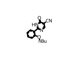 CCCCOc1ccccc1-c1ncc(C#N)c(=O)[nH]1